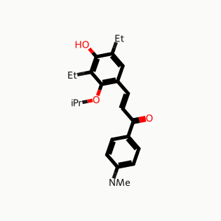 CCc1cc(C=CC(=O)c2ccc(NC)cc2)c(OC(C)C)c(CC)c1O